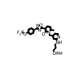 COCCCNc1cc(Cn2c(C)ccc(-c3nc(-c4ccc(OC(F)(F)F)cc4)no3)c2=O)ccn1